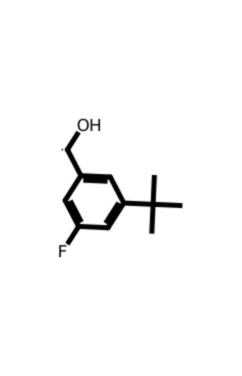 CC(C)(C)c1cc(F)cc([CH]O)c1